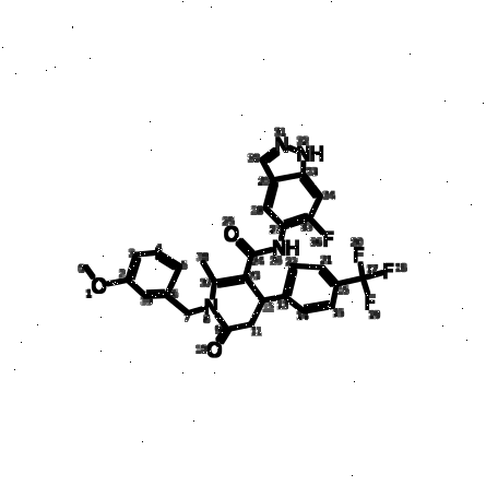 COc1cccc(CN2C(=O)CC(c3ccc(C(F)(F)F)cc3)C(C(=O)Nc3cc4cn[nH]c4cc3F)=C2C)c1